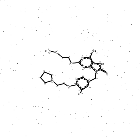 COCCOc1nc(N)c2[nH]c(=O)n(Cc3cnc(OCCN4CCCC4)c(Cl)c3)c2n1